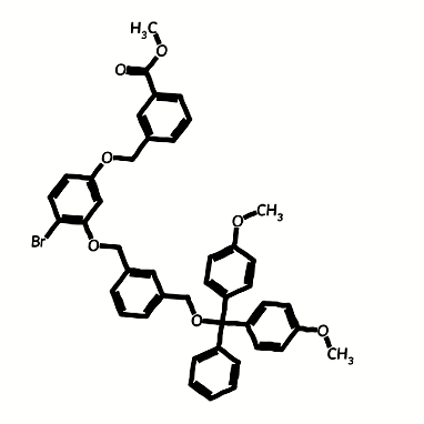 COC(=O)c1cccc(COc2ccc(Br)c(OCc3cccc(COC(c4ccccc4)(c4ccc(OC)cc4)c4ccc(OC)cc4)c3)c2)c1